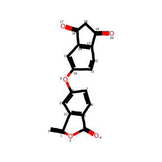 C=C1OC(=O)c2ccc(Oc3ccc4c(c3)C(=O)CC4=O)cc21